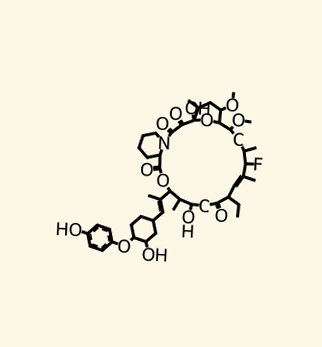 CCC1/C=C(\C)C(F)C(C)CC(OC)C2OC(O)(C(=O)C(=O)N3CCCCC3C(=O)OC(C(C)=CC3CCC(Oc4ccc(O)cc4)C(O)C3)C(C)C(O)CC1=O)C(C)CC2OC